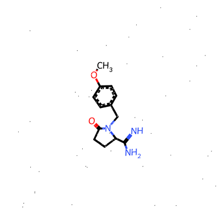 COc1ccc(CN2C(=O)CCC2C(=N)N)cc1